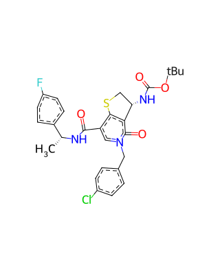 C[C@@H](NC(=O)c1cn(Cc2ccc(Cl)cc2)c(=O)c2c1SC[C@@H]2NC(=O)OC(C)(C)C)c1ccc(F)cc1